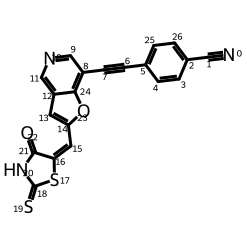 N#Cc1ccc(C#Cc2cncc3cc(C=C4SC(=S)NC4=O)oc23)cc1